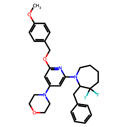 COc1ccc(COc2cc(N3CCOCC3)cc(N3CCCCC(F)(F)C3Cc3ccccc3)n2)cc1